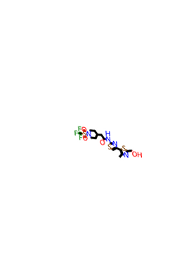 Cc1nc(CO)sc1-c1csc(NC(=O)CC2CCN(S(=O)(=O)C(F)(F)F)CC2)n1